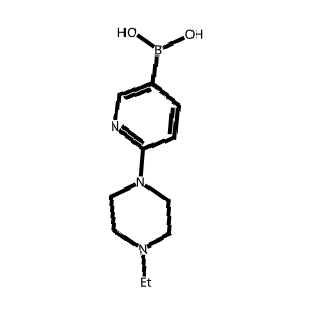 CCN1CCN(c2ccc(B(O)O)cn2)CC1